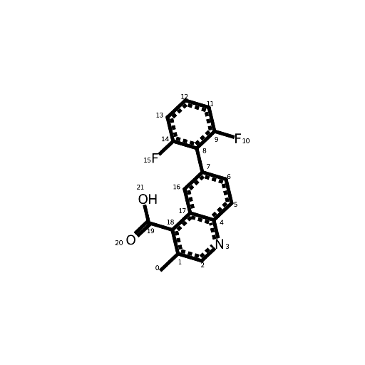 Cc1cnc2ccc(-c3c(F)cccc3F)cc2c1C(=O)O